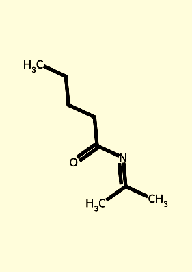 CCCCC(=O)N=C(C)C